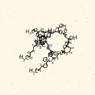 C=CCOC(=O)C[C@H]1CC2C[C@H]3CCC[C@@H](C[C@@H](O)CC(=O)OC(CO)C[C@@H]4C/C(=C/C(=O)OC)[C@H](OC(=O)CCCCCCC)[C@@](O)(O4)C(C)(C)/C=C/[C@H](O2)O1)O3